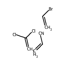 C=C(Cl)Cl.C=CBr.C=CC#N